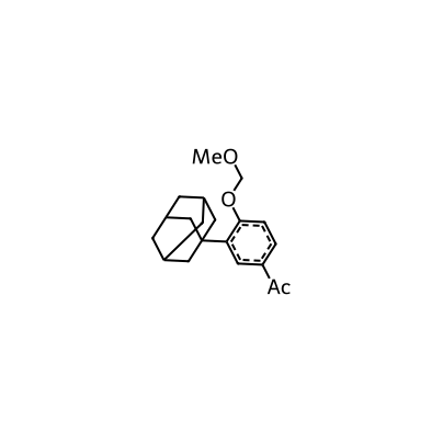 COCOc1ccc(C(C)=O)cc1C12CC3CC(CC(C3)C1)C2